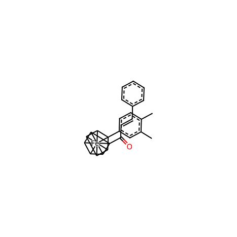 Cc1ccc([C]23[CH]4[CH]5[CH]6[CH]2[Fe]56432789[CH]3[CH]2[CH]7[C]8(C(=O)C=Cc2ccccc2)[CH]39)cc1C